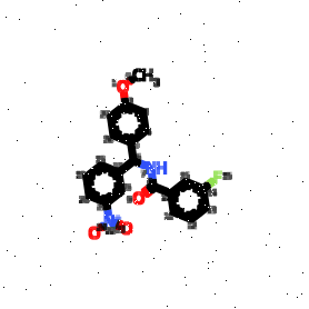 COc1ccc(C(NC(=O)c2cccc(F)c2)c2cccc([N+](=O)[O-])c2)cc1